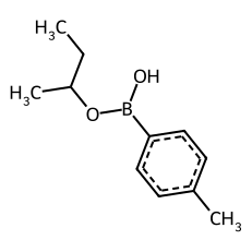 CCC(C)OB(O)c1ccc(C)cc1